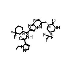 CCn1nccc1C(=O)N[C@H](c1cn2nc(C[C@H]3C[C@@H](C(F)(F)F)CNC3=O)cnc2n1)[C@@H]1CCCC(F)(F)C1